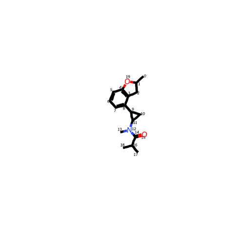 CC1Cc2c(cccc2C2CC2N(C)C(=O)C(C)C)O1